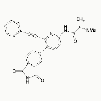 CNC(C)C(=O)Nc1ccc(-c2ccc3c(c2)C(=O)NC3=O)c(C#Cc2ccccc2)n1